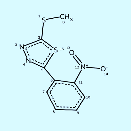 CSc1nnc(-c2ccccc2[N+](=O)[O-])s1